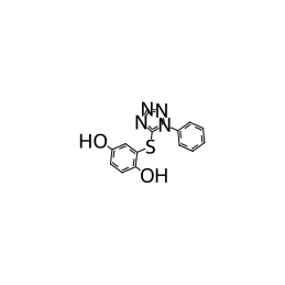 Oc1ccc(O)c(Sc2nnnn2-c2ccccc2)c1